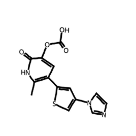 Cc1[nH]c(=O)c(OC(=O)O)cc1-c1cc(-n2ccnc2)cs1